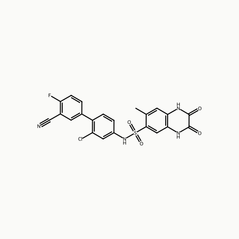 Cc1cc2[nH]c(=O)c(=O)[nH]c2cc1S(=O)(=O)Nc1ccc(-c2ccc(F)c(C#N)c2)c(Cl)c1